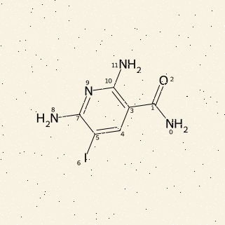 NC(=O)c1cc(I)c(N)nc1N